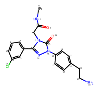 CC(C)NC(=O)Cn1c(-c2cccc(Cl)c2)nn(-c2ccc(CCN)cc2)c1=O